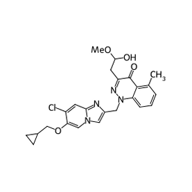 COC(O)Cc1nn(Cc2cn3cc(OCC4CC4)c(Cl)cc3n2)c2cccc(C)c2c1=O